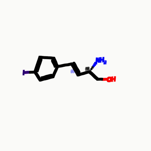 N[C@@H](/C=C/c1ccc(I)cc1)CO